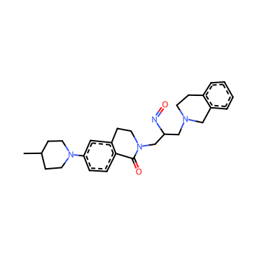 CC1CCN(c2ccc3c(c2)CCN(CC(CN2CCc4ccccc4C2)N=O)C3=O)CC1